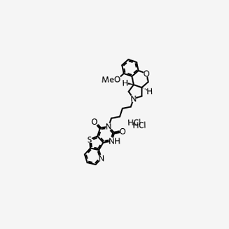 COc1cccc2c1[C@H]1CN(CCCCn3c(=O)[nH]c4c(sc5cccnc54)c3=O)C[C@@H]1CO2.Cl.Cl